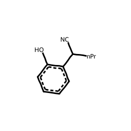 CCCC(C#N)c1ccccc1O